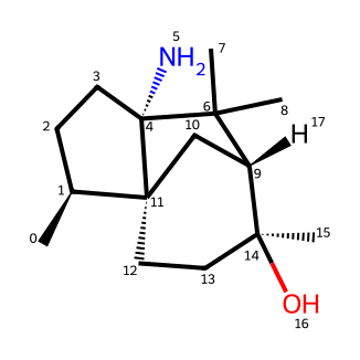 C[C@H]1CC[C@@]2(N)C(C)(C)[C@H]3C[C@@]12CC[C@]3(C)O